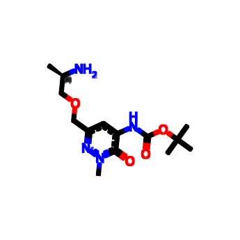 C[C@@H](N)COCc1cc(NC(=O)OC(C)(C)C)c(=O)n(C)n1